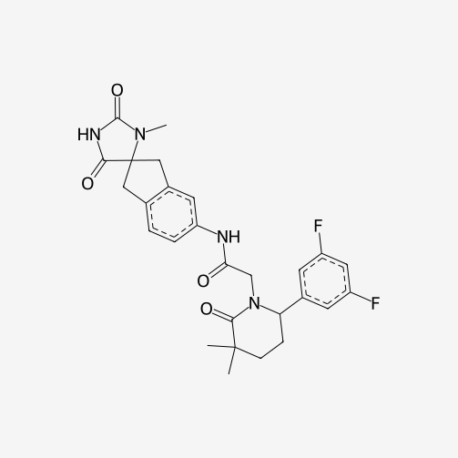 CN1C(=O)NC(=O)C12Cc1ccc(NC(=O)CN3C(=O)C(C)(C)CCC3c3cc(F)cc(F)c3)cc1C2